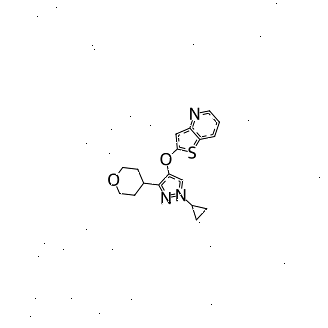 c1cnc2cc(Oc3cn(C4CC4)nc3C3CCOCC3)sc2c1